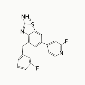 Nc1nc2c(Cc3cccc(F)c3)cc(-c3ccnc(F)c3)cc2s1